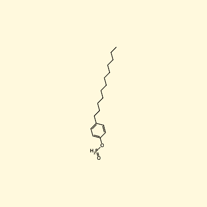 CCCCCCCCCCCCc1ccc(O[PH2]=O)cc1